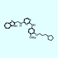 COc1ccc(Nc2nccc(NCc3nc4ccccc4[nH]3)n2)cc1OCCCN1CCCC1